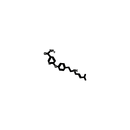 CC(C)C=CCNCCc1ccc(Oc2ccc(C(N)=O)cn2)cc1